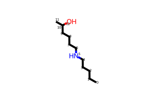 CCCCCNCCCCC(C)O